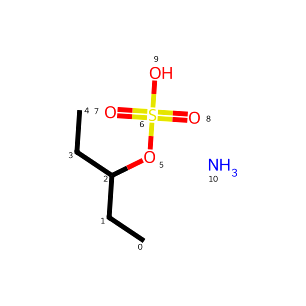 CCC(CC)OS(=O)(=O)O.N